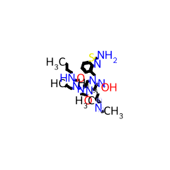 C#CCN(C(=O)NCCCC)N1CC(=O)N2[C@@H](C/C(C)=C/N=C\C)/C(=N\O)N(Cc3cccc4sc(N)nc34)C[C@@H]21